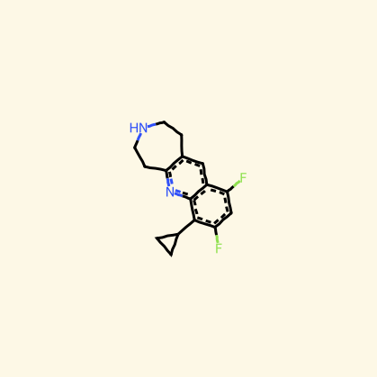 Fc1cc(F)c2cc3c(nc2c1C1CC1)CCNCC3